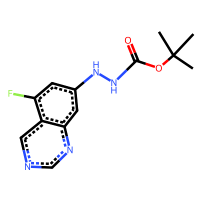 CC(C)(C)OC(=O)NNc1cc(F)c2cncnc2c1